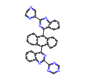 c1ccc2c(-c3c4ccccc4c(-c4nc(-c5ncncn5)nc5ccccc45)c4ccccc34)nc(-c3cnccn3)nc2c1